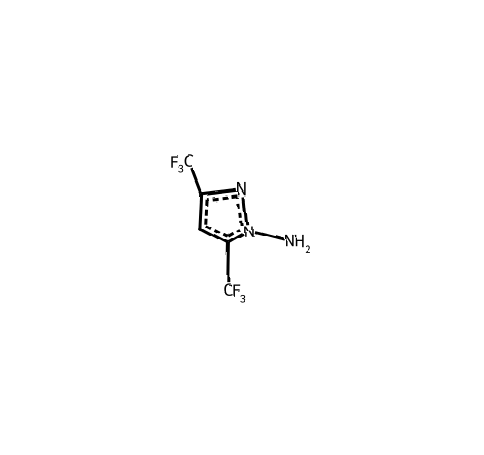 Nn1nc(C(F)(F)F)cc1C(F)(F)F